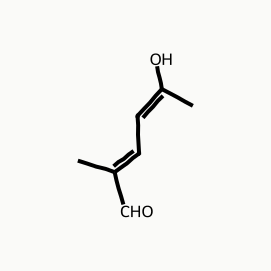 C/C(O)=C\C=C(/C)C=O